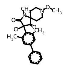 CON1CCC2(CC1)C(=O)C(Cl)(c1c(C)cc(-c3ccccc3)cc1C)C(=O)N2C